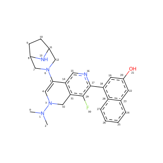 CN(C)N1C=C(N2CC3CCC(C2)N3)c2cnc(-c3cc(O)cc4ccccc34)c(F)c2C1